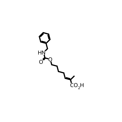 CC(=CCCCCOC(=O)NCc1ccccc1)C(=O)O